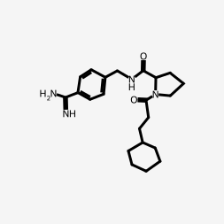 N=C(N)c1ccc(CNC(=O)C2CCCN2C(=O)CCC2CCCCC2)cc1